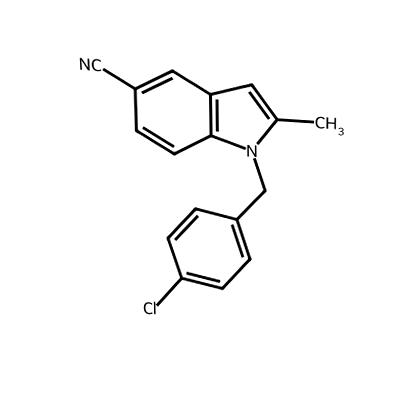 Cc1cc2cc(C#N)ccc2n1Cc1ccc(Cl)cc1